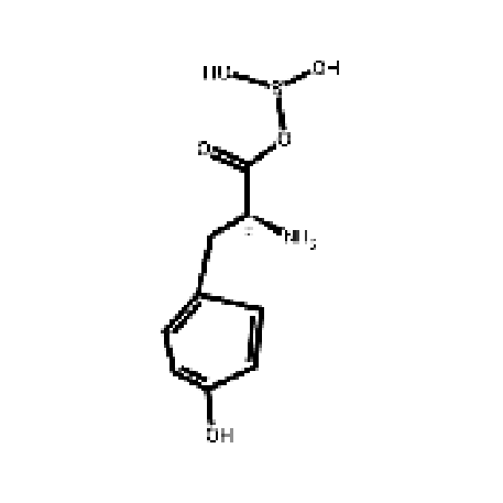 N[C@@H](Cc1ccc(O)cc1)C(=O)OB(O)O